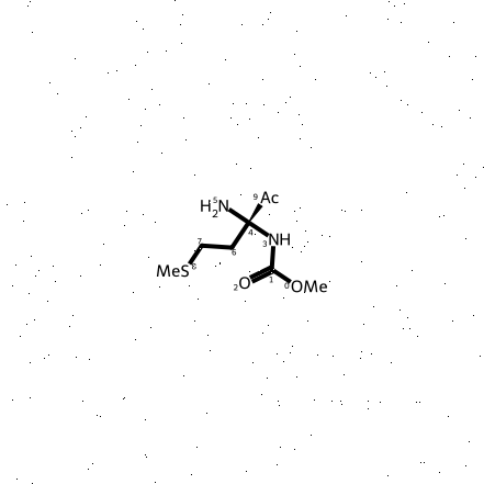 COC(=O)N[C@@](N)(CCSC)C(C)=O